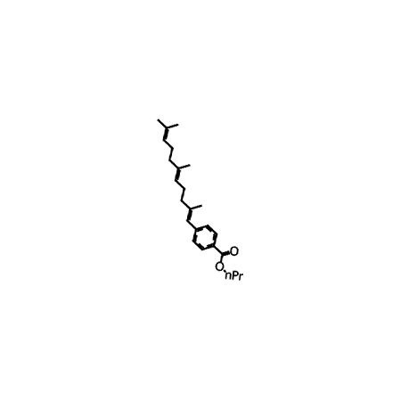 CCCOC(=O)c1ccc(/C=C(\C)CC/C=C(\C)CCC=C(C)C)cc1